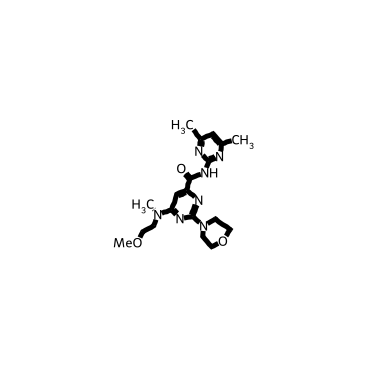 COCCN(C)c1cc(C(=O)Nc2nc(C)cc(C)n2)nc(N2CCOCC2)n1